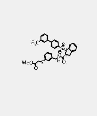 COC(=O)CSc1cccc(CNC(=O)[C@@H]2Cc3ccccc3N2S(=O)(=O)c2ccc(-c3cccc(C(F)(F)F)c3)cc2)c1